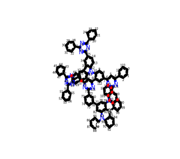 c1ccc(-c2cc(-c3ccc(-n4c5ccc(-c6nc(-c7ccccc7)nc(-c7ccccc7)n6)cc5c5cc(-c6nc(-c7ccccc7)nc(-c7ccccc7)n6)ccc54)c(-c4cc(-c5ccccc5)nc(-c5cccc(-c6cc7c8c(c6)N(c6ccccc6)c6ccccc6B8c6ccccc6N7c6ccccc6)c5)n4)c3)nc(-c3ccccc3)n2)cc1